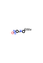 COc1cccc(/N=C/c2ccc3c(c2)n(C)c(=O)n3C)c1